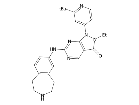 CCn1c(=O)c2cnc(Nc3ccc4c(c3)CCNCC4)nc2n1-c1ccnc(C(C)(C)C)c1